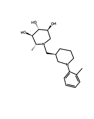 Cc1ccccc1N1CCC[C@H](CN2C[C@H](O)[C@@H](O)[C@H](O)[C@H]2C)C1